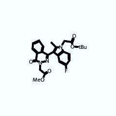 COC(=O)Cn1nc(-c2c(C)n(CC(=O)OC(C)(C)C)c3ccc(F)cc23)c2ccccc2c1=O